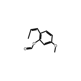 C/C=C\c1ccc(OC)cc1OC=O